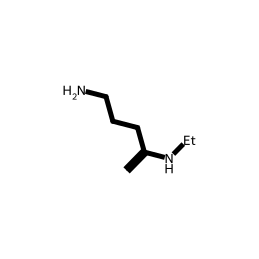 C=C(CCCN)NCC